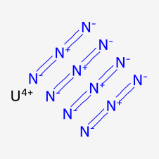 [N-]=[N+]=[N-].[N-]=[N+]=[N-].[N-]=[N+]=[N-].[N-]=[N+]=[N-].[U+4]